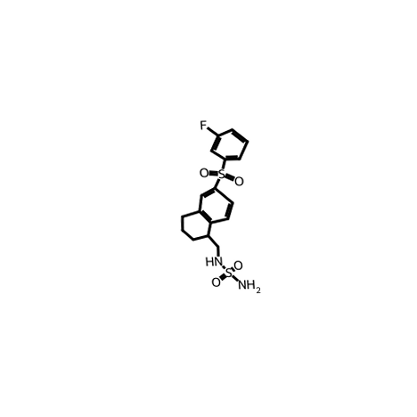 NS(=O)(=O)NCC1CCCc2cc(S(=O)(=O)c3cccc(F)c3)ccc21